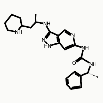 CC(CC1CCCCN1)Nc1n[nH]c2cc(NC(=O)N[C@H](C)c3ccccc3)ncc12